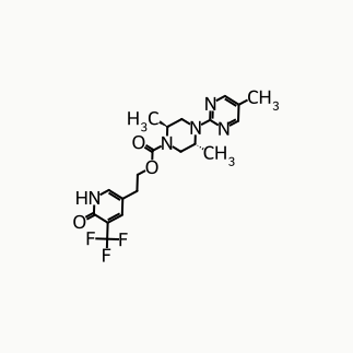 Cc1cnc(N2C[C@H](C)N(C(=O)OCCc3c[nH]c(=O)c(C(F)(F)F)c3)C[C@H]2C)nc1